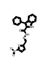 O=C(NN=Cc1ccc([N+](=O)[O-])o1)c1[nH]c2ccccc2c1-c1ccccc1